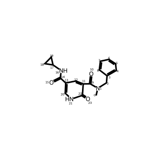 CN(Cc1ccccc1)C(=O)c1cc(C(=O)NC2CC2)c[nH]c1=O